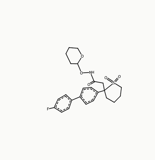 O=C(CC1(c2ccc(-c3ccc(F)cc3)cc2)CCCCS1(=O)=O)NOC1CCCCO1